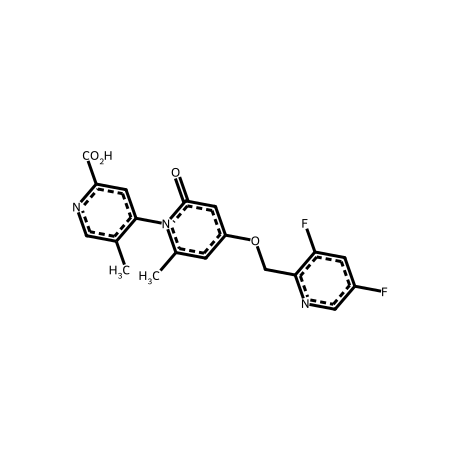 Cc1cnc(C(=O)O)cc1-n1c(C)cc(OCc2ncc(F)cc2F)cc1=O